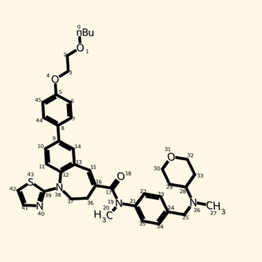 CCCCOCCOc1ccc(-c2ccc3c(c2)C=C(C(=O)N(C)c2ccc(CN(C)C4CCOCC4)cc2)CCN3c2nccs2)cc1